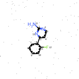 Nc1nccc(-c2ccccc2F)n1